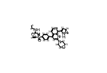 C#CS(=O)(=NC(=O)NCC)c1ccc(-c2cc(N3CCOCC3)nc3c(-c4ccn[nH]4)nccc23)cc1